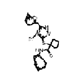 CCn1c(SC2(C(=O)Nc3ccccc3)CCC2)nnc1-c1ccco1